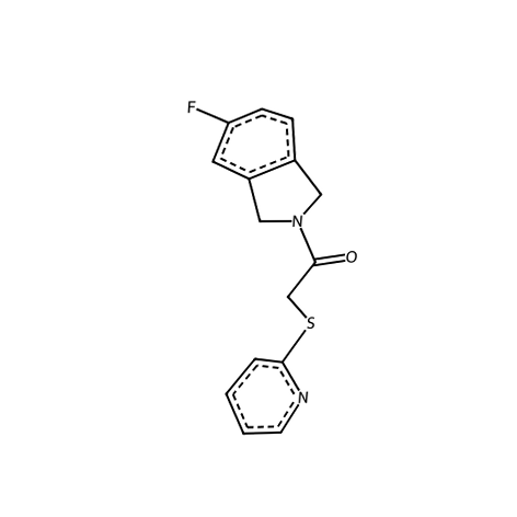 O=C(CSc1ccccn1)N1Cc2ccc(F)cc2C1